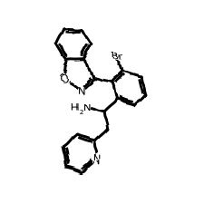 NC(Cc1ccccn1)c1cccc(Br)c1-c1noc2ccccc12